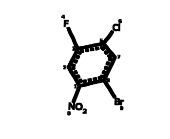 O=[N+]([O-])c1cc(F)c(Cl)cc1Br